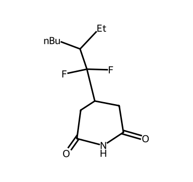 CCCCC(CC)C(F)(F)C1CC(=O)NC(=O)C1